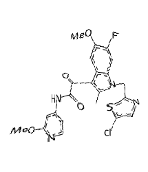 COc1cc(NC(=O)C(=O)c2c(C)n(Cc3ncc(Cl)s3)c3cc(F)c(OC)cc23)ccn1